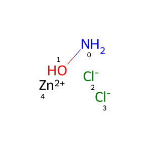 NO.[Cl-].[Cl-].[Zn+2]